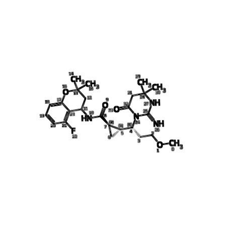 COCC[C@H]([C@@H]1C[C@H]1C(=O)NC1CC(C)(C)Oc2cccc(F)c21)N1C(=N)NC(C)(C)CC1=O